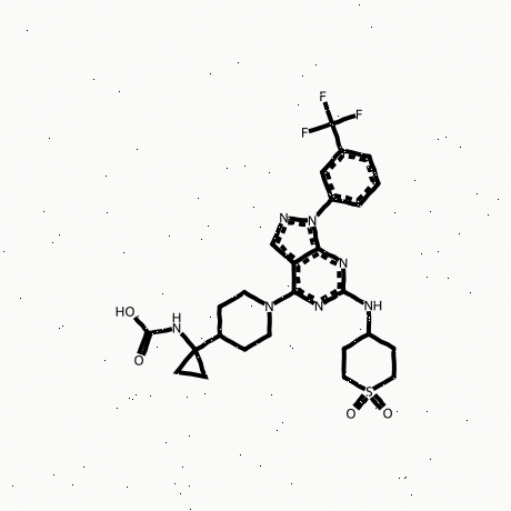 O=C(O)NC1(C2CCN(c3nc(NC4CCS(=O)(=O)CC4)nc4c3cnn4-c3cccc(C(F)(F)F)c3)CC2)CC1